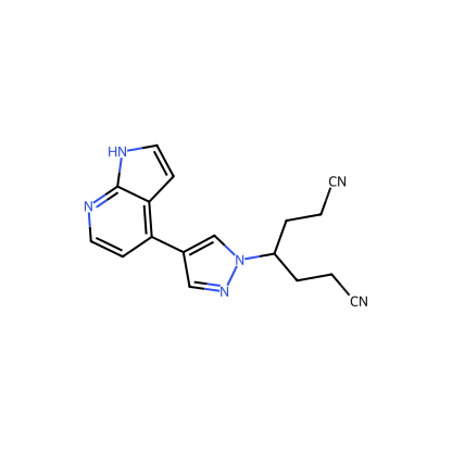 N#CCCC(CCC#N)n1cc(-c2ccnc3[nH]ccc23)cn1